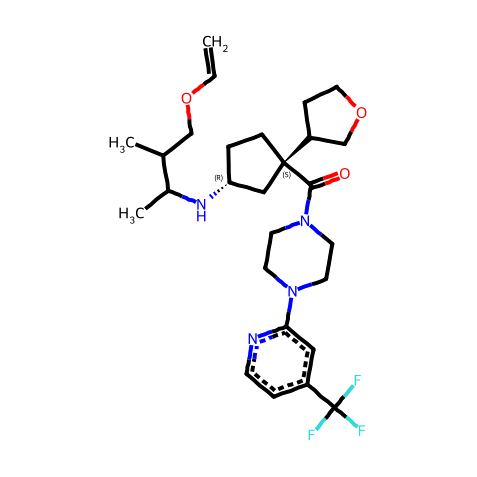 C=COCC(C)C(C)N[C@@H]1CC[C@@](C(=O)N2CCN(c3cc(C(F)(F)F)ccn3)CC2)(C2CCOC2)C1